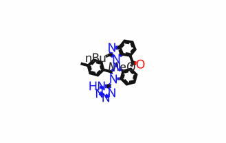 CCCCc1nc2cccc(C(=O)OC)c2n1N1c2ccccc2N(c2nnn[nH]2)C1c1ccc(C)cc1